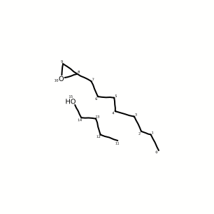 CCCCCCCCC1CO1.CCCCO